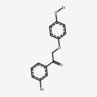 CCOc1ccc(OCC(=O)c2cccc(C(C)=O)c2)cc1